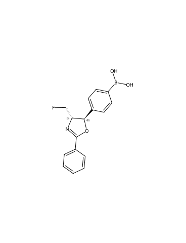 OB(O)c1ccc([C@H]2OC(c3ccccc3)=N[C@@H]2CF)cc1